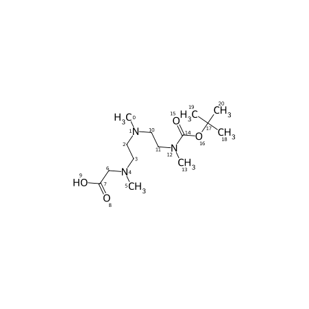 CN(CCN(C)CC(=O)O)CCN(C)C(=O)OC(C)(C)C